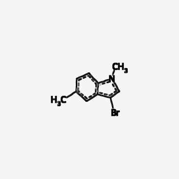 Cc1ccc2c(c1)c(Br)cn2C